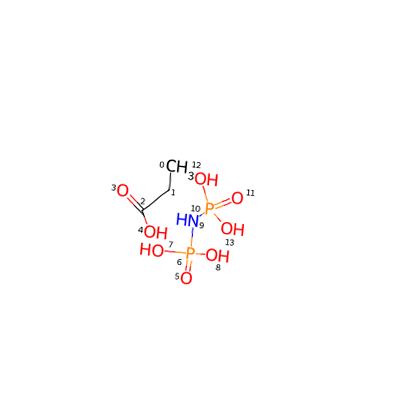 CCC(=O)O.O=P(O)(O)NP(=O)(O)O